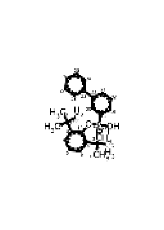 CC(C)(C)c1cccc(C(C)(C)C)c1O[PH](O)(O)c1cccc(-c2ccccc2)c1